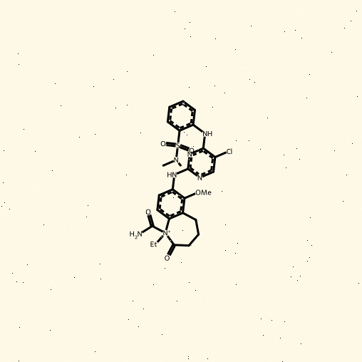 CC[N+]1(C(N)=O)C(=O)[CH]CCc2c1ccc(Nc1ncc(Cl)c(Nc3ccccc3S(=O)(=O)N(C)C)n1)c2OC